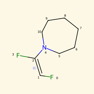 F/C=C(/F)N1CCCCCC1